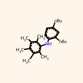 CCCCc1ccc(Nc2c(C)c(C)c(C)c(C)c2C)c(CCCC)c1